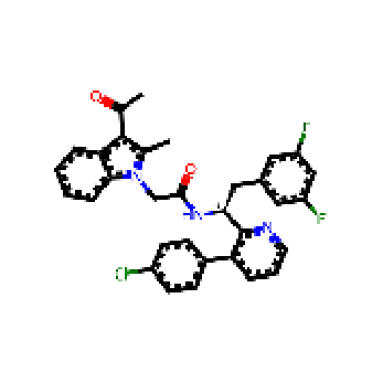 CC(=O)c1c(C)n(CC(=O)N[C@@H](Cc2cc(F)cc(F)c2)c2ncccc2-c2ccc(Cl)cc2)c2ccccc12